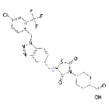 O=C(O)C1CCC(N2C(=O)S/C(=C\c3ccc4c(c3)nnn4Cc3ccc(Cl)cc3C(F)(F)F)C2=O)CC1